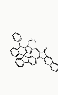 CCn1c(C=C2C(=O)c3cc4ccccc4cc3C2=O)cc2c1N(c1ccccc1)c1ccccc1C21c2ccccc2-c2ccccc21